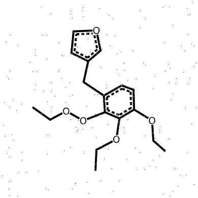 CCOOc1c(Cc2ccoc2)ccc(OCC)c1OCC